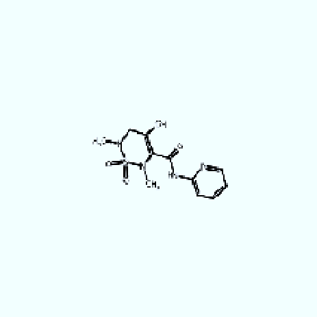 CN1CC(O)=C(C(=O)Nc2ccccn2)N(C)S1(=O)=O